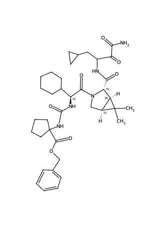 CC1(C)[C@@H]2[C@@H](C(=O)NC(CC3CC3)C(=O)C(N)=O)N(C(=O)[C@@H](NC(=O)NC3(C(=O)OCc4ccccc4)CCCC3)C3CCCCC3)C[C@@H]21